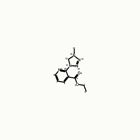 CCOC(=O)c1cccnc1N1CN(C)N=N1